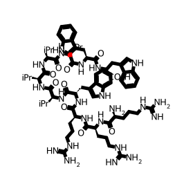 CC(C)[C@H](NC(=O)[C@H](Cc1c[nH]c2ccccc12)NC(=O)[C@H](CCCNC(=N)N)NC(=O)[C@H](CCCNC(=N)N)NC(=O)[C@@H](N)CCCNC(=N)N)C(=O)N[C@H](C(=O)N[C@H](C(=O)N[C@H](C(=O)N[C@@H](Cc1c[nH]c2ccccc12)C(=O)N[C@@H](Cc1c[nH]c2ccccc12)C(=O)O)C(C)C)C(C)C)C(C)C